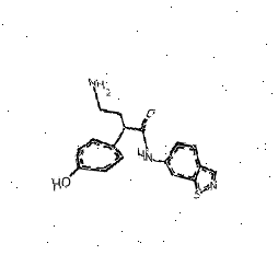 NCCC(C(=O)Nc1ccc2cnsc2c1)c1ccc(O)cc1